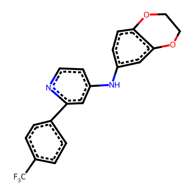 FC(F)(F)c1ccc(-c2cc(Nc3ccc4c(c3)OCCO4)ccn2)cc1